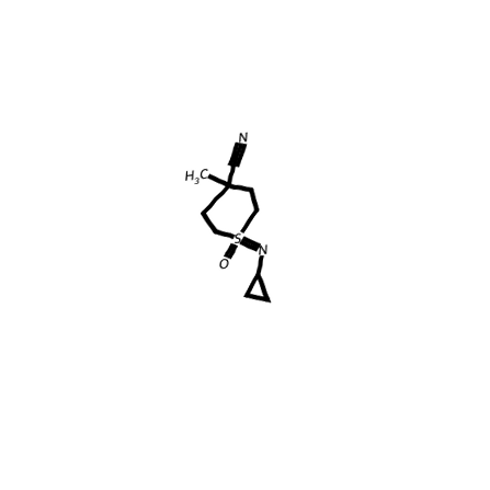 CC1(C#N)CCS(=O)(=NC2CC2)CC1